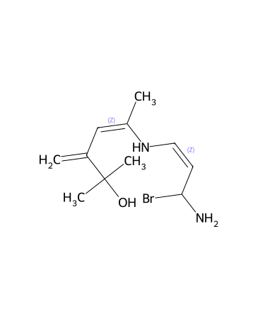 C=C(/C=C(/C)N/C=C\C(N)Br)C(C)(C)O